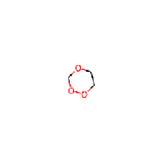 C1COOCO1